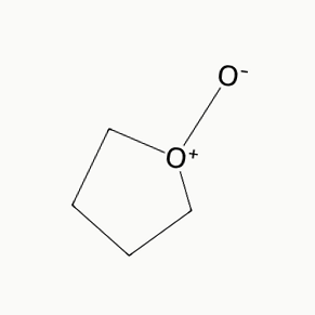 [O-][O+]1CCCC1